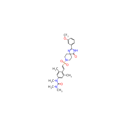 Cc1cc(N(C)C(=O)N(C)C)cc(C)c1/C=C/S(=O)(=O)N1CCC2(CC1)N=C(c1cccc(OC(F)(F)F)c1)NC2=O